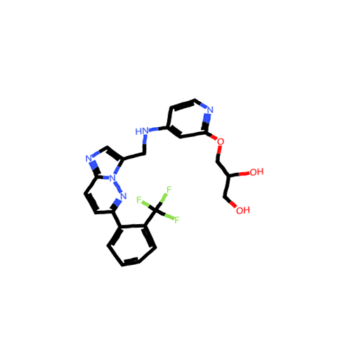 OCC(O)COc1cc(NCc2cnc3ccc(-c4ccccc4C(F)(F)F)nn23)ccn1